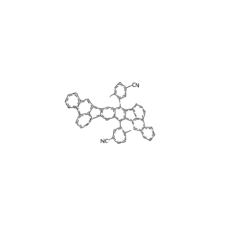 Cc1ccc(C#N)cc1-c1c2cc3c(cc2c(-c2cc(C#N)ccc2C)c2c4cc5ccccc5c5cccc(c12)c54)c1cccc2c4ccccc4cc3c21